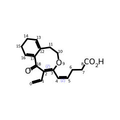 C=C/C1=C(\C=C/CCC(=O)O)OCCC2=CCCC=C2C1=O